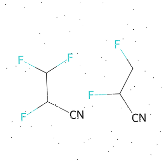 N#CC(F)C(F)F.N#CC(F)CF